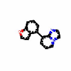 c1cc(-c2cccn3ccnc23)c2ccoc2c1